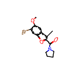 COc1cc2c(C)c(C(=O)N3CCCC3)oc2cc1Br